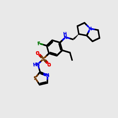 CCc1cc(S(=O)(=O)Nc2nccs2)c(F)cc1NC[C@@H]1CCN2CCCC12